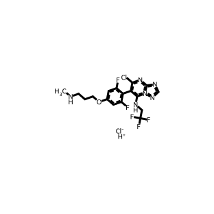 CNCCCOc1cc(F)c(-c2c(Cl)nc3ncnn3c2NCC(F)(F)F)c(F)c1.[Cl-].[H+]